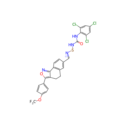 O=C(NS/N=C/c1ccc2c(c1)CCc1c-2noc1-c1ccc(OC(F)(F)F)cc1)Nc1c(Cl)cc(Cl)cc1Cl